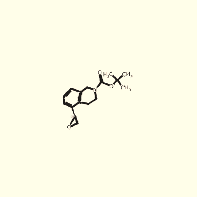 CC(C)(C)OC(=O)N1CCc2c(cccc2[C@H]2CO2)C1